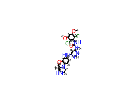 COc1cc(OC)c(Cl)c(NC(=O)N(C)c2cc(Nc3ccc4c(c3)OC[C@@H]3CNCCN43)ncn2)c1Cl